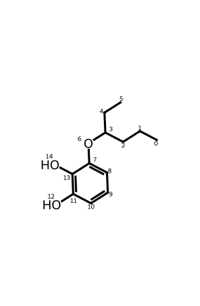 CCCC(CC)Oc1cccc(O)c1O